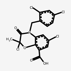 CC1(Cl)Oc2c(C(=O)O)cc(Cl)cc2N(Cc2ccc(Cl)cc2Cl)C1=O